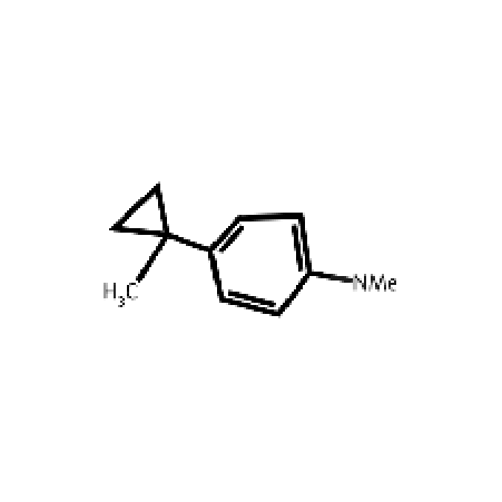 CNc1ccc(C2(C)CC2)cc1